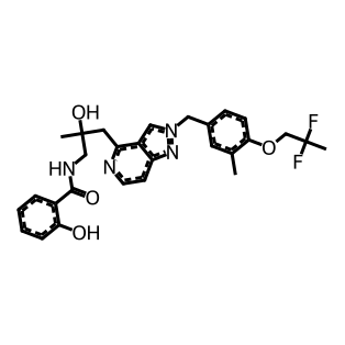 Cc1cc(Cn2cc3c(CC(C)(O)CNC(=O)c4ccccc4O)nccc3n2)ccc1OCC(C)(F)F